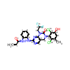 C=CC(=O)Nc1ccccc1Nc1ncc2c(n1)N(CC(F)F)C(=O)N(c1c(Cl)c(C)cc(O)c1Cl)C2